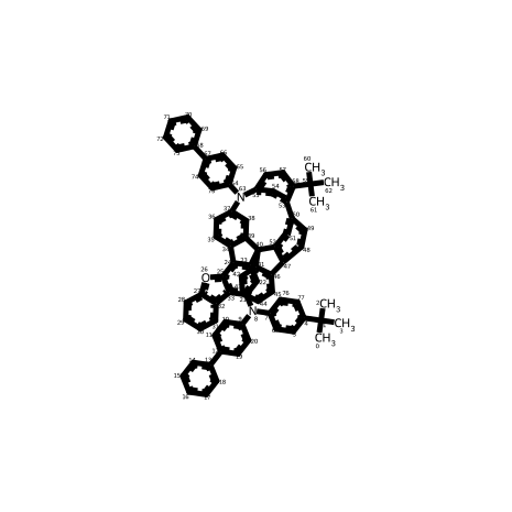 CC(C)(C)c1ccc(N(c2ccc(-c3ccccc3)cc2)c2cc3c(c4oc5ccccc5c24)-c2ccc4cc2C32c3ccccc3-c3ccc(cc32)-c2cc(ccc2C(C)(C)C)N4c2ccc(-c3ccccc3)cc2)cc1